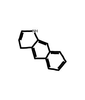 C1=CNc2cc3ccccc3cc2C1